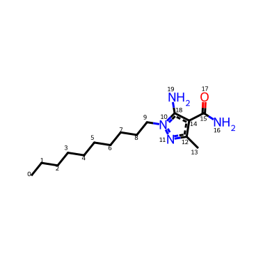 CCCCCCCCCCn1nc(C)c(C(N)=O)c1N